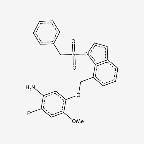 COc1cc(F)c(N)cc1OCc1cccc2ccn(S(=O)(=O)Cc3ccccc3)c12